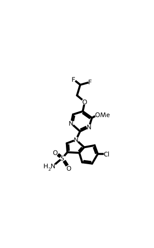 COc1nc(-n2cc(S(N)(=O)=O)c3ccc(Cl)cc32)ncc1OCC(F)F